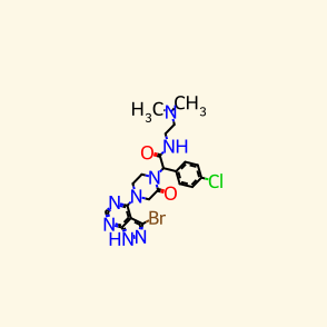 CN(C)CCNC(=O)C(c1ccc(Cl)cc1)N1CCN(c2ncnc3[nH]nc(Br)c23)CC1=O